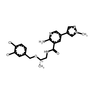 C[C@@H](CNC(=O)c1cc(-c2cnn(C)c2)cnc1N)OCc1ccc(Cl)c(Cl)c1